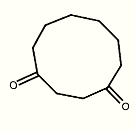 O=C1CCCCCCC(=O)CC1